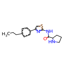 CCCc1ccc(-c2csc(NC(=O)C3CCCN3)n2)cc1